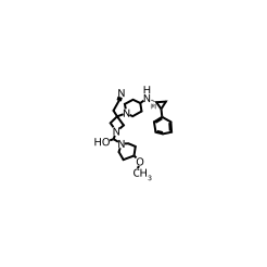 COC1CCN(C(O)N2CC(CC#N)(N3CCC(N[C@@H]4CC4c4ccccc4)CC3)C2)CC1